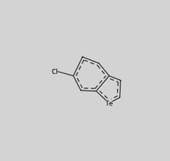 Clc1ccc2cc[te]c2c1